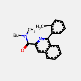 CCC(C)N(C)C(=O)c1cc2ccccc2c(-c2ccccc2C)n1